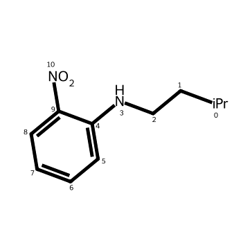 CC(C)CCNc1ccccc1[N+](=O)[O-]